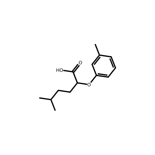 Cc1cccc(OC(CCC(C)C)C(=O)O)c1